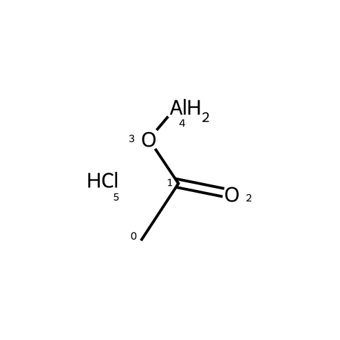 CC(=O)[O][AlH2].Cl